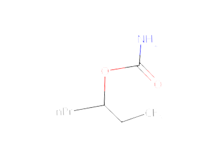 CCCC(CC(F)(F)F)OC(N)=O